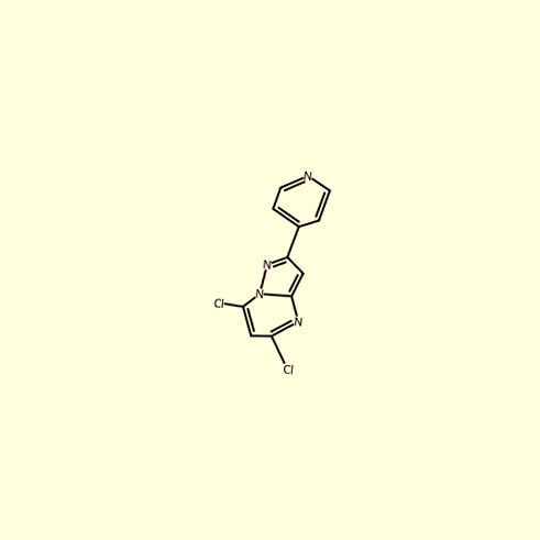 Clc1cc(Cl)n2nc(-c3ccncc3)cc2n1